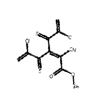 C=C(Cl)C(=S)C(C(=S)C(=C)Cl)=C(C#N)C(=O)OC(C)C